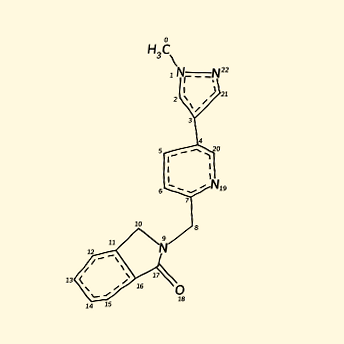 Cn1cc(-c2ccc(CN3Cc4ccccc4C3=O)nc2)cn1